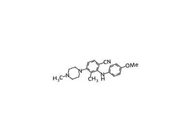 COc1ccc(Nc2c(C#N)ccc(N3CCN(C)CC3)c2C)cc1